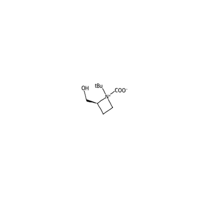 CC(C)(C)[N+]1(C(=O)[O-])CC[C@H]1CO